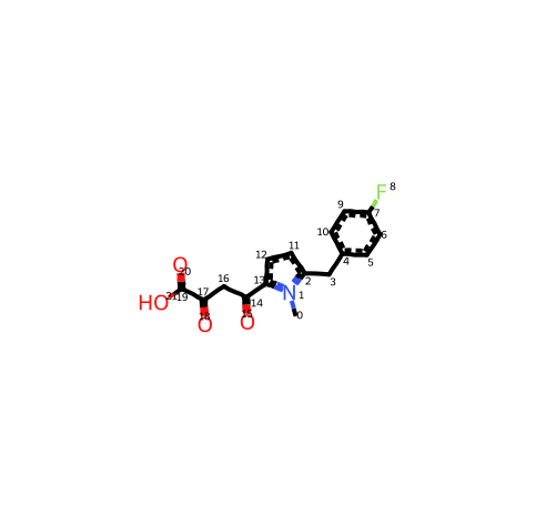 Cn1c(Cc2ccc(F)cc2)ccc1C(=O)CC(=O)C(=O)O